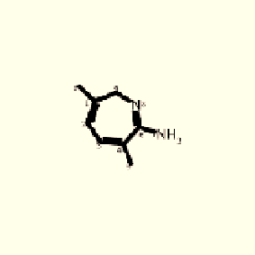 CC1=CC=C(C)C(N)=NC1